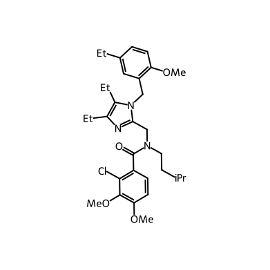 CCc1ccc(OC)c(Cn2c(CN(CCC(C)C)C(=O)c3ccc(OC)c(OC)c3Cl)nc(CC)c2CC)c1